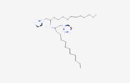 CCCCCCCCCCCC(Cn1ccnn1)NC(CCCCCCCCCCC)Cn1ccnn1